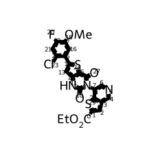 CCOC(=O)c1cc2cncc(-n3c(=O)[nH]c4cc(-c5cc(OC)c(F)cc5Cl)sc4c3=O)c2s1